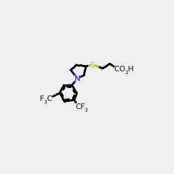 O=C(O)CCSC1CCN(c2cc(C(F)(F)F)cc(C(F)(F)F)c2)C1